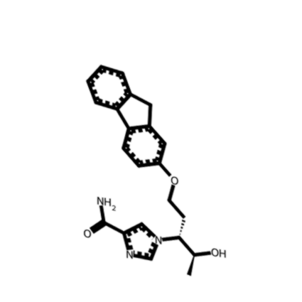 C[C@H](O)[C@@H](CCOc1ccc2c(c1)Cc1ccccc1-2)n1cnc(C(N)=O)c1